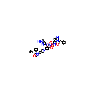 CC(C)c1ccccc1[C@@H]1COCCN1C1CC2(CCN(c3ccc(C(=O)NS(=O)(=O)c4cc([N+](=O)[O-])c5c(n4)OC[C@H](Cc4ccccc4)N5)c(Oc4cnc5[nH]ccc5c4)c3)CC2)C1